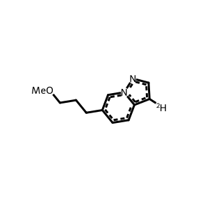 [2H]c1cnn2cc(CCCOC)ccc12